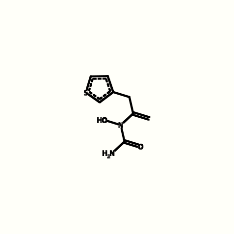 C=C(Cc1ccsc1)N(O)C(N)=O